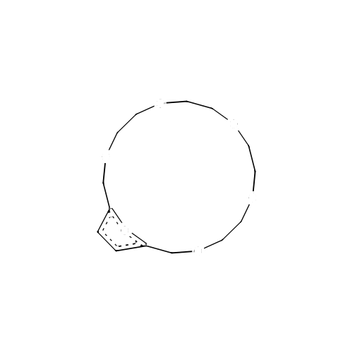 c1cc2oc1COCCOCCOCCOCCOC2